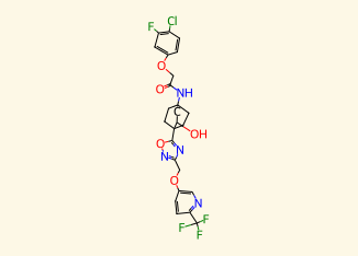 O=C(COc1ccc(Cl)c(F)c1)NC12CCC(c3nc(COc4ccc(C(F)(F)F)nc4)no3)(CC1)C(O)C2